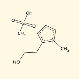 CS(=O)(=O)O.Cn1cccc1CCO